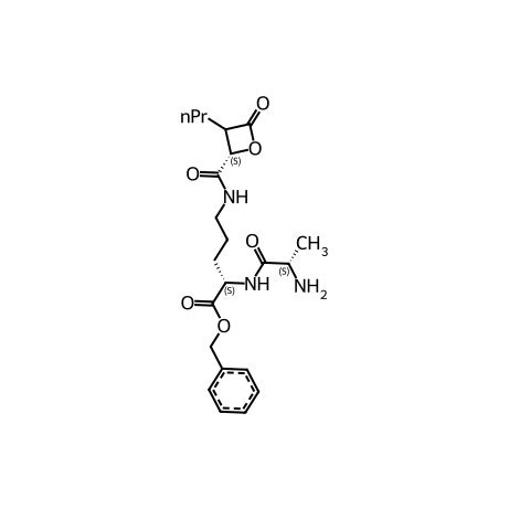 CCCC1C(=O)O[C@@H]1C(=O)NCCC[C@H](NC(=O)[C@H](C)N)C(=O)OCc1ccccc1